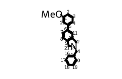 COc1cccc(-c2ccc3c(c2)CN(Cc2ccccc2)C3)c1